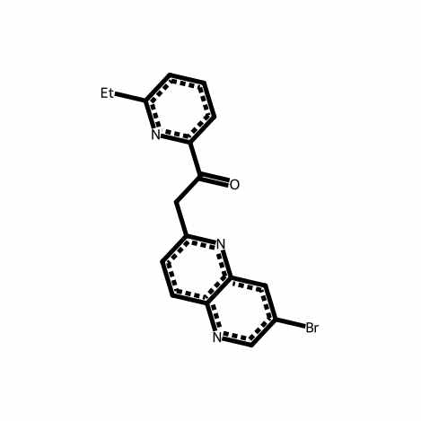 CCc1cccc(C(=O)Cc2ccc3ncc(Br)cc3n2)n1